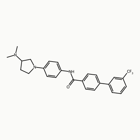 CN(C)C1CCN(c2ccc(NC(=O)c3ccc(-c4cccc(C(F)(F)F)c4)cc3)cc2)C1